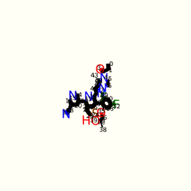 C=CC(=O)N1CCn2nc(-c3nc(-c4cncc(C#N)c4)c4ccsc4c3-c3c(F)cc(F)cc3OC[C@@H](C)O)cc2[C@@H]1C